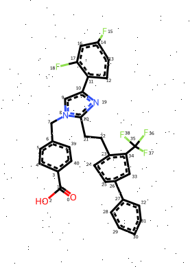 O=C(O)c1ccc(Cn2cc(-c3ccc(F)cc3F)nc2CCc2ccc(-c3ccccc3)cc2C(F)(F)F)cc1